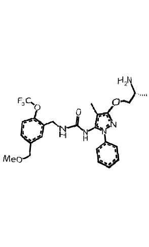 COCc1ccc(OC(F)(F)F)c(CNC(=O)Nc2c(C)c(OC[C@@H](C)N)nn2-c2ccccc2)c1